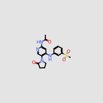 CC(=O)Nc1cc(Nc2cccc(S(C)(=O)=O)c2)c(N2CCCC2=O)cn1